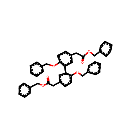 O=C(Cc1ccc(OCc2ccccc2)c(-c2cc(CC(=O)OCc3ccccc3)ccc2OCc2ccccc2)c1)OCc1ccccc1